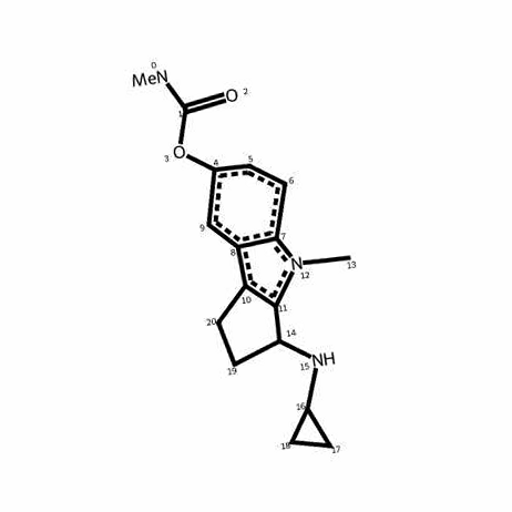 CNC(=O)Oc1ccc2c(c1)c1c(n2C)C(NC2CC2)CC1